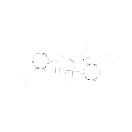 CC(NCc1cccc(C(=O)O)c1)(C(=O)NO)c1cccc(C(=O)O)c1